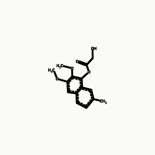 COc1cc2ccc(C)cc2c(OC(=O)CO)c1OC